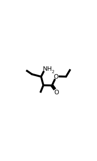 CCOC(=O)C(C)C(N)CC